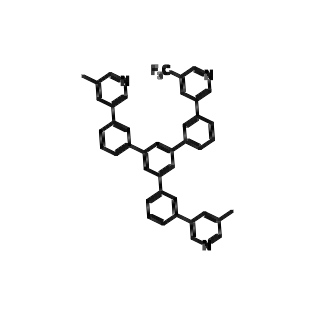 Cc1cncc(-c2cccc(-c3cc(-c4cccc(-c5cncc(C)c5)c4)cc(-c4cccc(-c5cncc(C(F)(F)F)c5)c4)c3)c2)c1